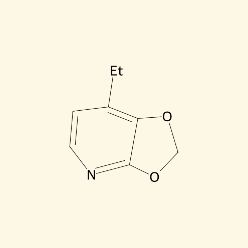 CCc1ccnc2c1OCO2